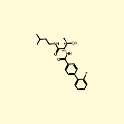 CC(C)C[CH]NC(=O)[C@@H](NC(=O)c1ccc(-c2ccccc2F)cc1)[C@@H](C)O